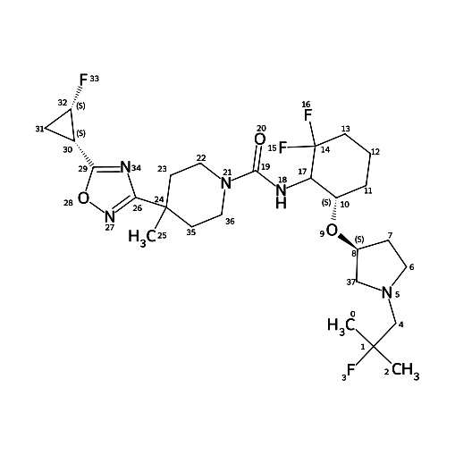 CC(C)(F)CN1CC[C@H](O[C@H]2CCCC(F)(F)C2NC(=O)N2CCC(C)(c3noc([C@@H]4C[C@@H]4F)n3)CC2)C1